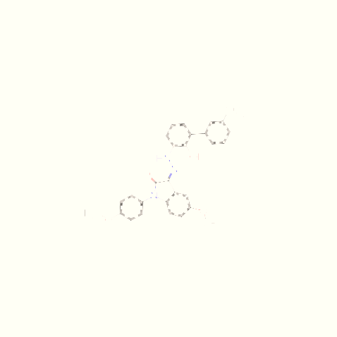 O=C(O)c1cccc(-c2cccc(N/N=C3\C(=O)N(c4ccc(OC(F)(F)F)cc4)c4ccc(OC(F)(F)F)cc43)c2O)c1